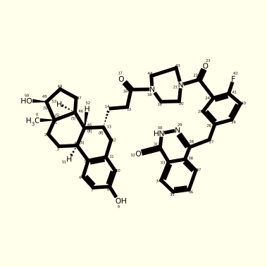 C[C@]12CC[C@@H]3c4ccc(O)cc4C[C@@H](CCC(=O)N4CCN(C(=O)c5cc(Cc6n[nH]c(=O)c7ccccc67)ccc5F)CC4)[C@H]3[C@@H]1CC[C@@H]2O